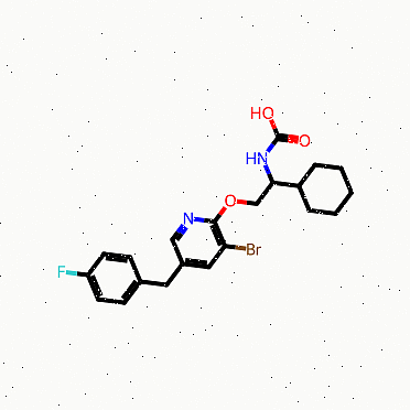 O=C(O)NC(COc1ncc(Cc2ccc(F)cc2)cc1Br)C1CCCCC1